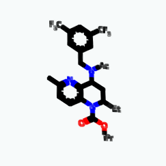 CCC1CC(N(Cc2cc(C(F)(F)F)cc(C(F)(F)F)c2)C(C)=O)c2nc(C)ccc2N1C(=O)OC(C)C